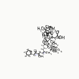 CC[C@@H](C(=O)C(C)(C)[C@H](CC(=O)O)O[Si](C)(C)C(C)(C)C)[C@@H](O[Si](C)(C)C(C)(C)C)[C@@H](C)CCC/C(C)=C\C[C@H](O)/C(Cl)=C/c1ccccn1